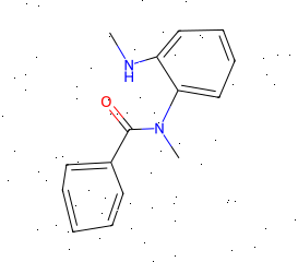 CNc1ccccc1N(C)C(=O)c1ccccc1